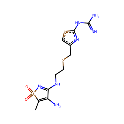 CC1=C(N)C(NCCSCc2csc(NC(=N)N)n2)=NS1(=O)=O